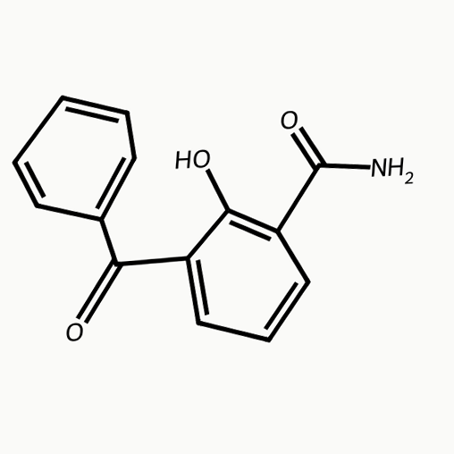 NC(=O)c1cccc(C(=O)c2ccccc2)c1O